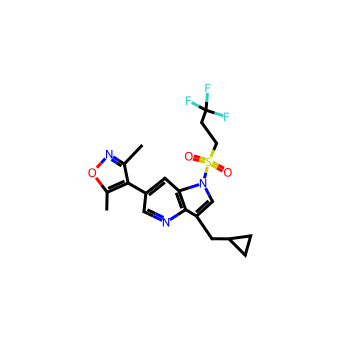 Cc1noc(C)c1-c1cnc2c(CC3CC3)cn(S(=O)(=O)CCC(F)(F)F)c2c1